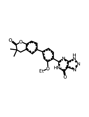 CCOc1cc(-c2ccc3c(c2)CC(C)(C)C(=O)O3)ccc1-c1nc2[nH]nnc2c(=O)[nH]1